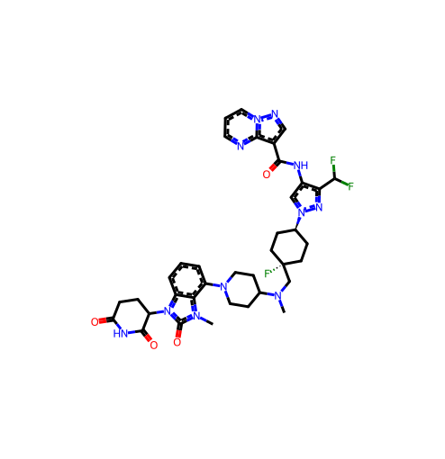 CN(C[C@]1(F)CC[C@H](n2cc(NC(=O)c3cnn4cccnc34)c(C(F)F)n2)CC1)C1CCN(c2cccc3c2n(C)c(=O)n3C2CCC(=O)NC2=O)CC1